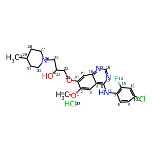 COc1cc2c(Nc3ccc(Cl)cc3F)ncnc2cc1OCC(O)CN1CCC(C)CC1.Cl